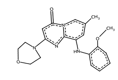 COc1ccccc1Nc1cc(C)cn2c(=O)cc(N3CCOCC3)nc12